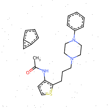 CC(=O)Nc1ccsc1CCCN1CCN(c2ccccc2)CC1.c1cc2cc-2c1